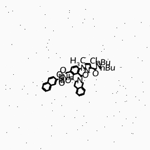 CCCCN(CCCC)C(=O)c1nn(-c2ccc(C(=O)NS(=O)(=O)c3ccc4ccccc4c3)cc2C(=O)N2Cc3ccccc3C[C@@H]2CO)c(C)c1Cl